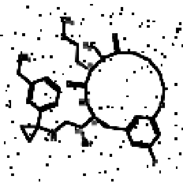 CCc1cccc(C2(NC[C@@H](O)[C@@H]3Cc4cc(F)cc(c4)OCCCCC(=O)N(C)[C@@H](CCSC)C(=O)N3)CC2)c1